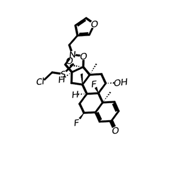 C[C@]12C[C@H](O)[C@@]3(F)[C@@H](C[C@H](F)C4=CC(=O)C=C[C@@]43C)[C@]1(C)C[C@H]1CN(Cc3ccoc3)O[C@]12C(=O)SCCl